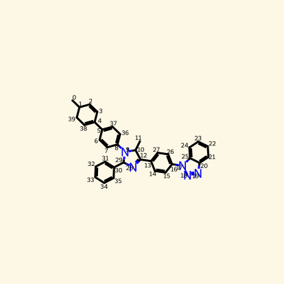 CC1C=CC(c2ccc(N3C(C)C(c4ccc(-n5nnc6ccccc65)cc4)=NC3c3ccccc3)cc2)=CC1